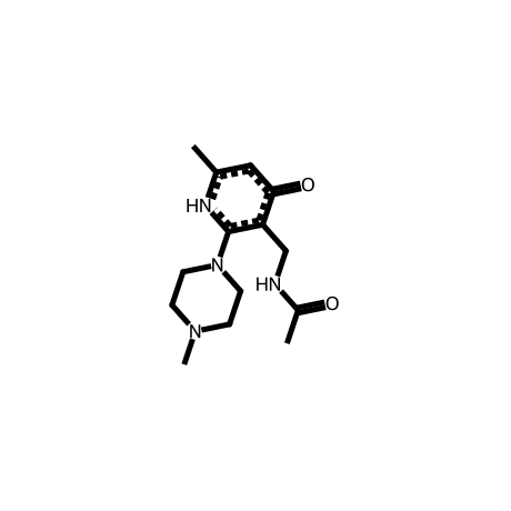 CC(=O)NCc1c(N2CCN(C)CC2)[nH]c(C)cc1=O